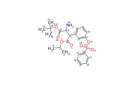 CC(C)OC(=O)C(c1cccc(OS(=O)(=O)c2ccccc2)c1)C(N)C(=O)OC(C)(C)C